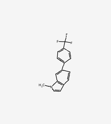 Cn1ccc2ccc(-c3ccc(C(F)(F)F)cc3)cc21